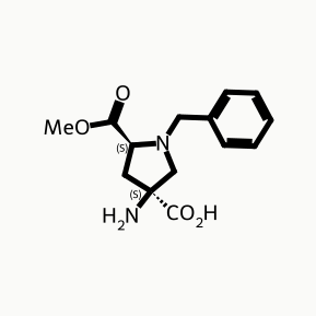 COC(=O)[C@@H]1C[C@@](N)(C(=O)O)CN1Cc1ccccc1